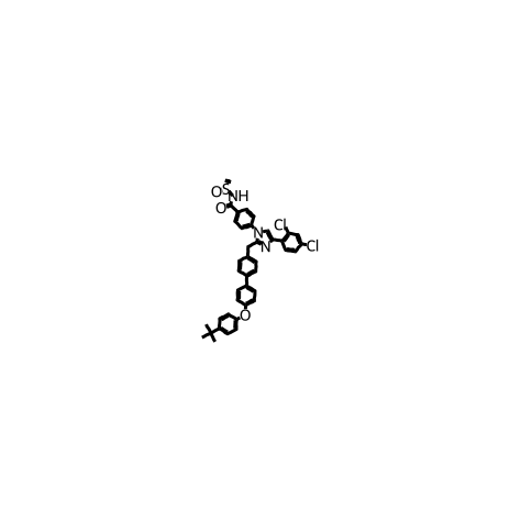 C#S(=O)NC(=O)c1ccc(-n2cc(-c3ccc(Cl)cc3Cl)nc2Cc2ccc(-c3ccc(Oc4ccc(C(C)(C)C)cc4)cc3)cc2)cc1